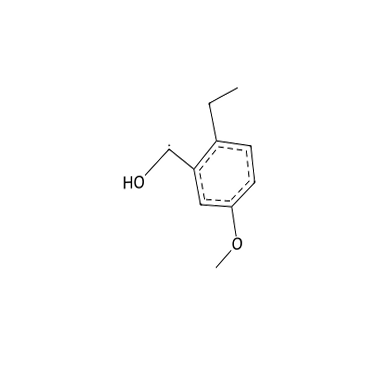 CCc1ccc(OC)cc1[CH]O